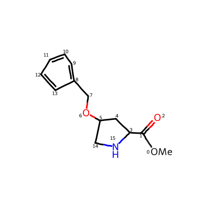 COC(=O)C1CC(OCc2ccccc2)CN1